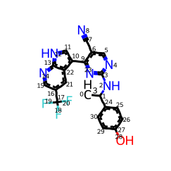 CC(Nc1ncc(C#N)c(-c2c[nH]c3ncc(C(F)(F)F)cc23)n1)c1ccc(O)cc1